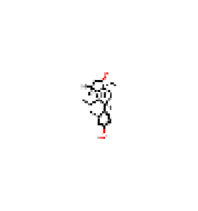 CC[C@]12CC[C@@H]3c4ccc(OC)cc4C[C@@H](C)[C@H]3[C@]13C[C@@H]3CC2=O